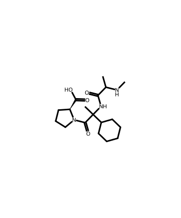 CNC(C)C(=O)NC(C)(C(=O)N1CCC[C@H]1C(=O)O)C1CCCCC1